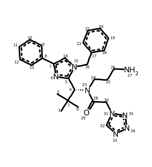 CC(C)(C)[C@H](c1nc(-c2ccccc2)cn1Cc1ccccc1)N(CCCN)C(=O)Cn1cnnn1